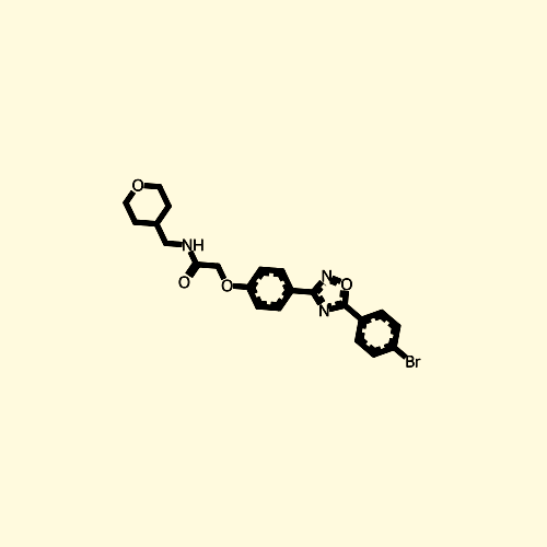 O=C(COc1ccc(-c2noc(-c3ccc(Br)cc3)n2)cc1)NCC1CCOCC1